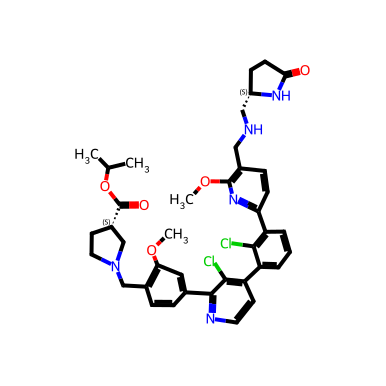 COc1cc(-c2nccc(-c3cccc(-c4ccc(CNC[C@@H]5CCC(=O)N5)c(OC)n4)c3Cl)c2Cl)ccc1CN1CC[C@H](C(=O)OC(C)C)C1